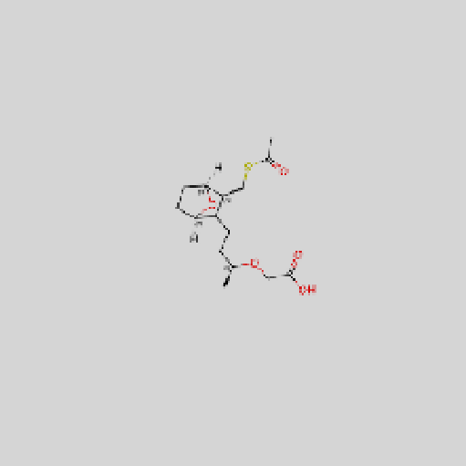 CC(=O)SC[C@H]1C(CC[C@H](C)OCC(=O)O)[C@H]2CC[C@@H]1O2